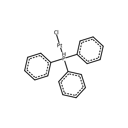 [Cl][Pt][PH](c1ccccc1)(c1ccccc1)c1ccccc1